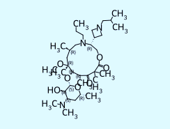 CCCN1C[C@H](C)C[C@@](C)(OC)[C@H](O[C@@H]2O[C@H](C)C[C@H](N(C)C)[C@H]2O)[C@@H](C)C(=O)C(C)(C)C(=O)OC[C@H]1C1CN(CC(C)C)C1